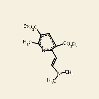 CCOC(=O)c1cc(C(=O)OCC)c(/C=C/N(C)C)nc1C